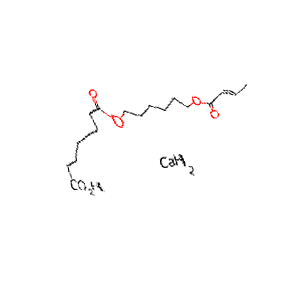 CC=CC(=O)OCCCCCCOC(=O)CCCCCC(=O)O.[CaH2]